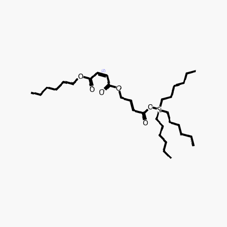 CCCCCCOC(=O)/C=C\C(=O)OCCCC(=O)O[Si](CCCCCC)(CCCCCC)CCCCCC